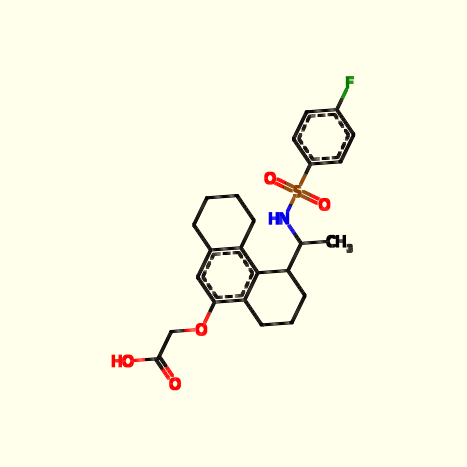 CC(NS(=O)(=O)c1ccc(F)cc1)C1CCCc2c(OCC(=O)O)cc3c(c21)CCCC3